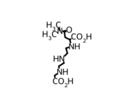 CN(C)C(=O)CC(NCCNCCNCC(=O)O)C(=O)O